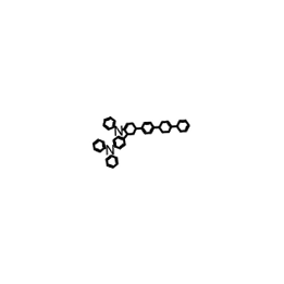 C1=CCC(C2=CCC(c3ccc(C4CC=C5C(C4)c4ccc(N(c6ccccc6)c6ccccc6)cc4N5c4ccccc4)cc3)CC2)C=C1